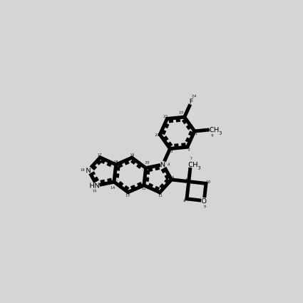 Cc1cc(-n2c(C3(C)COC3)cc3cc4[nH]ncc4cc32)ccc1F